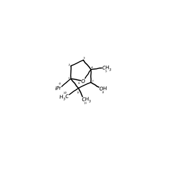 CC(C)C12CCC(C)(O1)C(O)C2(C)C